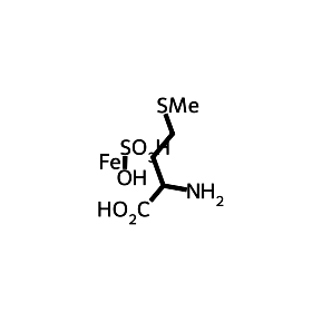 CSCCC(N)C(=O)O.O=S(=O)(O)O.[Fe]